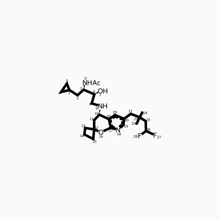 CC(=O)N[C@@H](CC1CC1)[C@H](O)CN[C@H]1CC2(CCC2)Oc2ncc(CC(C)(C)CC(F)F)cc21